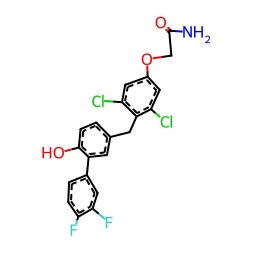 NC(=O)COc1cc(Cl)c(Cc2ccc(O)c(-c3ccc(F)c(F)c3)c2)c(Cl)c1